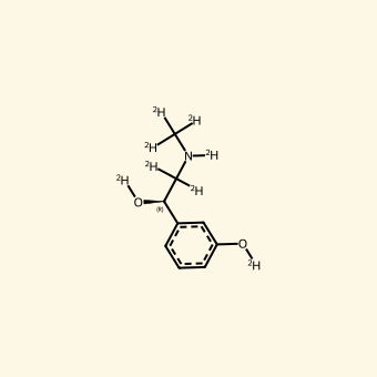 [2H]Oc1cccc([C@@H](O[2H])C([2H])([2H])N([2H])C([2H])([2H])[2H])c1